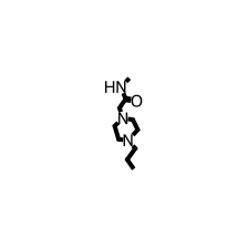 CCCN1CCN(CC(=O)NC)CC1